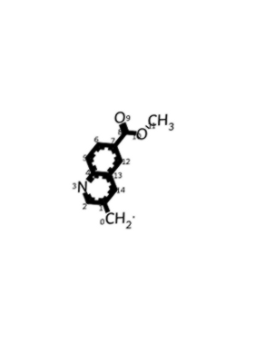 [CH2]c1cnc2ccc(C(=O)OC)cc2c1